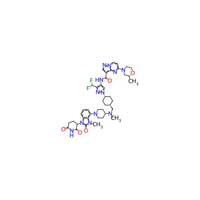 CC1CN(c2ccn3ncc(C(=O)Nc4cn([C@H]5CC[C@H](CN(C)C6CCN(c7cccc8c7n(C)c(=O)n8C7CCC(=O)NC7=O)CC6)CC5)nc4C(F)F)c3n2)CCO1